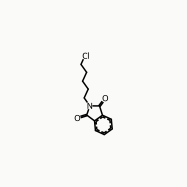 O=C1c2ccccc2C(=O)N1CCCCCCl